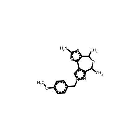 COc1ccc(Cn2cc3c(n2)C(C)OC(C)c2sc(N)nc2-3)cc1